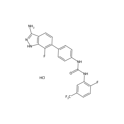 Cl.Nc1n[nH]c2c(F)c(-c3ccc(NC(=O)Nc4cc(C(F)(F)F)ccc4F)cc3)ccc12